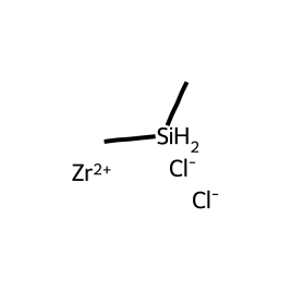 C[SiH2]C.[Cl-].[Cl-].[Zr+2]